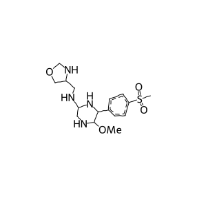 COC1NCC(NCC2COCN2)NC1c1ccc(S(C)(=O)=O)cc1